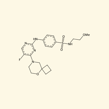 COCCNS(=O)(=O)c1ccc(Nc2ncc(F)c(N3CCOC4(CCC4)C3)n2)cc1